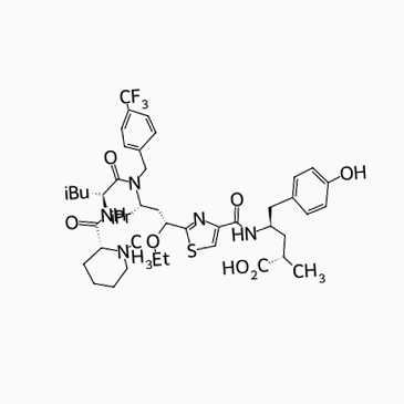 CCO[C@H](C[C@H](C(C)C)N(Cc1ccc(C(F)(F)F)cc1)C(=O)[C@@H](NC(=O)[C@H]1CCCCN1C)[C@@H](C)CC)c1nc(C(=O)N[C@@H](Cc2ccc(O)cc2)C[C@H](C)C(=O)O)cs1